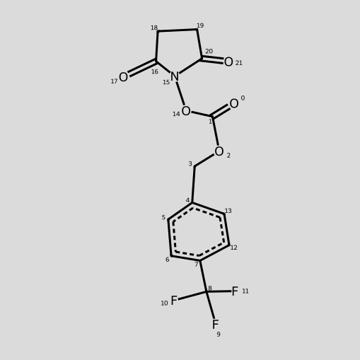 O=C(OCc1ccc(C(F)(F)F)cc1)ON1C(=O)CCC1=O